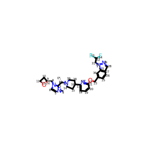 C[C@@H](C1N(C)C=CN1C[C@@H]1CCO1)N1CCC(c2cccc(OCc3ccc4cnn(CC(F)F)c4c3)n2)CC1